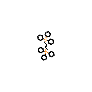 C(=C\C[PH](c1ccccc1)(c1ccccc1)c1ccccc1)/C[PH](c1ccccc1)(c1ccccc1)c1ccccc1